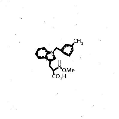 CONC(Cc1cn(Cc2cccc(C)c2)c2ccccc12)C(=O)O